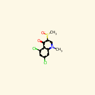 Cn1cc([S+](C)[O-])c(=O)c2c(Cl)cc(Cl)cc21